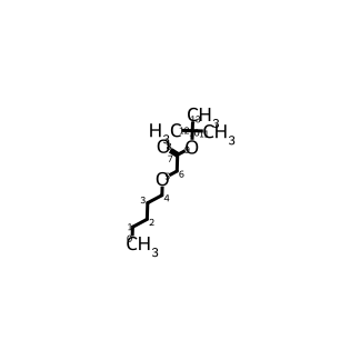 CCCCCOCC(=O)OC(C)(C)C